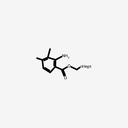 CCCCCCCCOC(=O)c1ccc(C)c(C)c1N